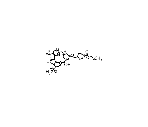 C=CCOC(=O)N1CCC(CO[C@@H]2C[C@H](Nc3ncc(C(F)(F)F)c(-c4c[nH]c5c(S(C)(=O)=O)cccc45)n3)CN(C(=O)O)C2)CC1